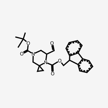 CC(C)(C)OC(=O)N1CC(C=O)N(C(=O)OCC2c3ccccc3-c3ccccc32)C2(CC2)C1